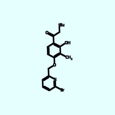 Cc1c(OCc2cccc(Br)n2)ccc(C(=O)CC(C)(C)C)c1O